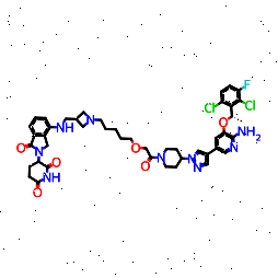 C[C@H](Oc1cc(-c2cnn(C3CCN(C(=O)COCCCCCN4CC(CNc5cccc6c5CN(C5CCC(=O)NC5=O)C6=O)C4)CC3)c2)cnc1N)c1c(Cl)ccc(F)c1Cl